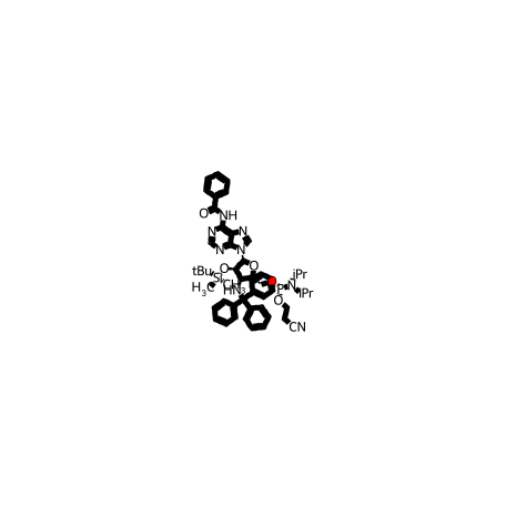 CC(C)N(C(C)C)P(OCCC#N)OC[C@H]1O[C@@H](n2cnc3c(NC(=O)c4ccccc4)ncnc32)[C@H](O[Si](C)(C)C(C)(C)C)[C@@H]1NC(c1ccccc1)(c1ccccc1)c1ccccc1